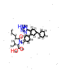 CCCCC(=O)N(Cc1ccc(-c2cc(-c3ccccc3)ccc2-c2nn[nH]n2)cc1)[C@H](C(=O)O)C(C)C